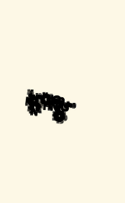 CCOC(=O)C(NC(=O)N1CCC(Cn2c(C)nc3cnccc32)CC1)c1ccccc1